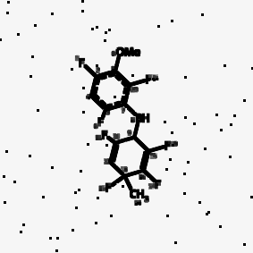 COc1c(F)cc(F)c(BC2C(F)=CC(C)(F)C(F)=C2F)c1F